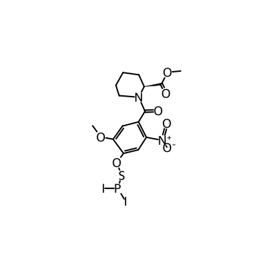 COC(=O)[C@@H]1CCCCN1C(=O)c1cc(OC)c(OSP(I)I)cc1[N+](=O)[O-]